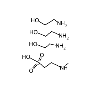 CNCCS(=O)(=O)O.NCCO.NCCO.NCCO